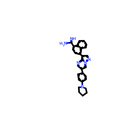 N=C(N)c1ccc(-c2cnn3cc(-c4ccc(N5CCCCC5)cc4)cnc23)c2ccccc12